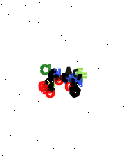 CC(=O)[C@@H]1C[C@H](Oc2ncc(Cl)cc2[C@]2(F)CCS(=O)(=O)C3(COC3)C2)CN1c1nc(C(F)F)nc2c1oc1ccccc12